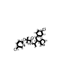 CC(NC(=O)C(C)(C)Oc1ccc(Cl)cn1)C(Cc1ccc(Cl)cc1)C1=CSCC1